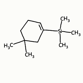 CC1(C)CCC=C([Si](C)(C)C)C1